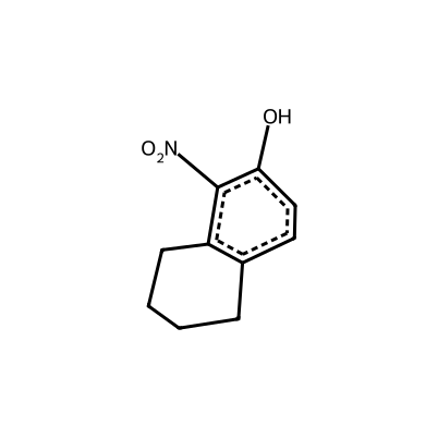 O=[N+]([O-])c1c(O)ccc2c1CCCC2